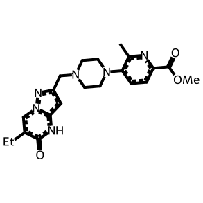 CCc1cn2nc(CN3CCN(c4ccc(C(=O)OC)nc4C)CC3)cc2[nH]c1=O